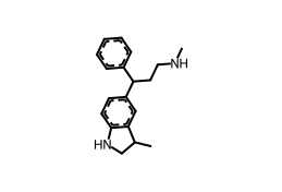 CNCCC(c1ccccc1)c1ccc2c(c1)C(C)CN2